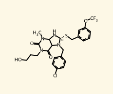 CN1C(=O)N(CCCO)C(=O)C2C1N[C@H](SCc1cccc(OC(F)(F)F)c1)N2Cc1ccc(Cl)cc1